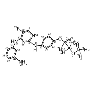 [2H]C([2H])([2H])OC([2H])([2H])C([2H])([2H])Oc1ccc(Nc2ncc(F)c(Nc3cccc(N)c3)n2)cc1